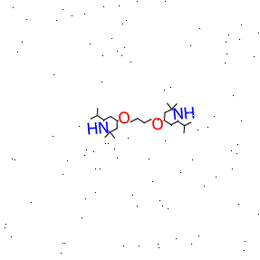 CC(C)C1CC(OCCCCOC2CC(C(C)C)NC(C)(C)C2)CC(C)(C)N1